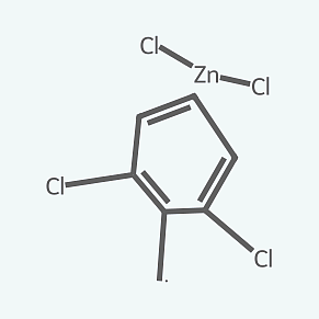 [CH2]c1c(Cl)cccc1Cl.[Cl][Zn][Cl]